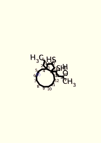 CCCC12C/C=C\CCCCCCCC1(C(S)CC(C)O)CC(S)C2